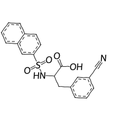 N#Cc1cccc(CC(NS(=O)(=O)c2ccc3ccccc3c2)C(=O)O)c1